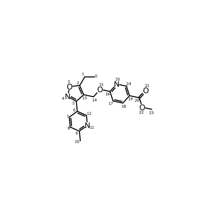 CCc1onc(-c2ccc(C)nc2)c1COc1ccc(C(=O)OC)cn1